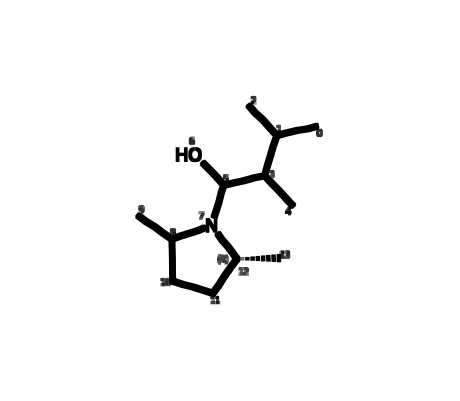 CC(C)C(C)C(O)N1C(C)CC[C@H]1C